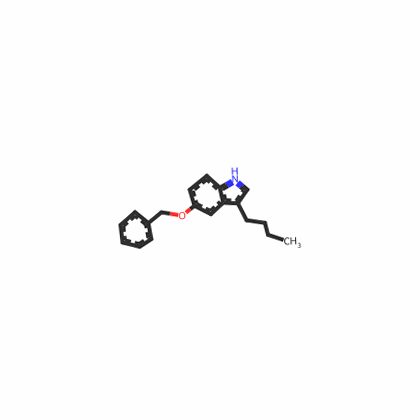 CCCCc1c[nH]c2ccc(OCc3ccccc3)cc12